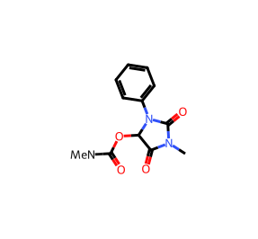 CNC(=O)OC1C(=O)N(C)C(=O)N1c1ccccc1